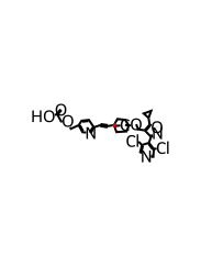 O=C(O)COCc1ccc(C#CC23CCC(OCc4c(-c5c(Cl)cncc5Cl)noc4C4CC4)(CC2)CC3)nc1